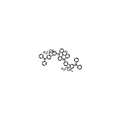 CC1(C)c2ccc(N(c3ccccc3)c3ccccc3)cc2-c2cc(N3c4cccc5c4P4c6c(cccc6N(c6ccc7c(c6)-c6ccc(N(c8ccccc8)c8ccccc8)cc6C7(C)C)c6cccc3c64)O5)ccc21